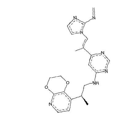 C=Nc1nccn1/C=C(\C)c1cc(NC[C@@H](C)c2ccnc3c2OCCO3)ncn1